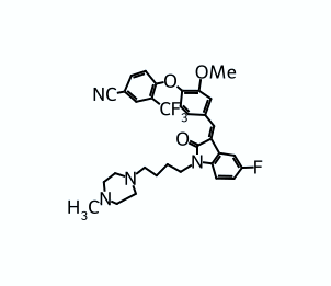 COc1cc(C=C2C(=O)N(CCCCN3CCN(C)CC3)c3ccc(F)cc32)ccc1Oc1ccc(C#N)cc1C(F)(F)F